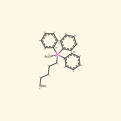 CCCCCCCCCCCCCCP(OC(C)=O)(c1ccccc1)(c1ccccc1)c1ccccc1